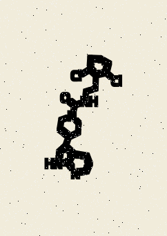 O=C(NCCc1c(Cl)cccc1Cl)N1CC=C(c2c[nH]c3ncccc23)CC1